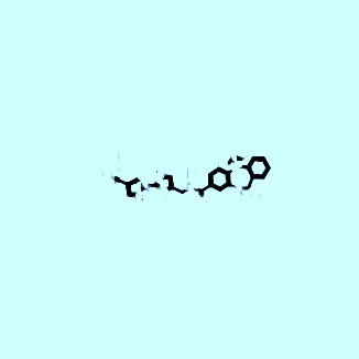 CC(C)(O)c1cnn(-c2ncc(CNC(=O)c3ccc4c(c3)NC(=O)c3ccccc3S4(=O)=O)s2)c1